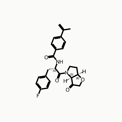 C=C(C)c1ccc(C(=O)N[C@@H](Cc2ccc(F)cc2)C(=O)N2CC[C@H]3OCC(=O)[C@H]32)cc1